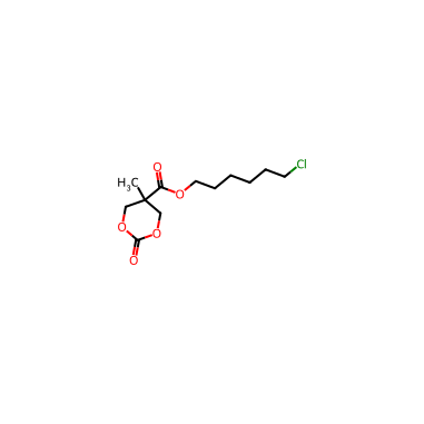 CC1(C(=O)OCCCCCCCl)COC(=O)OC1